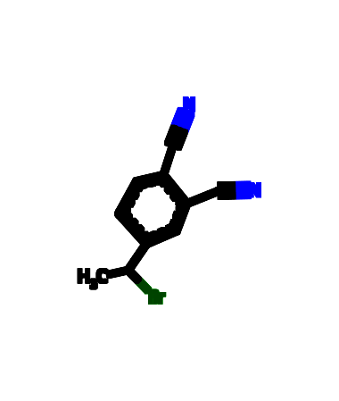 CC(Br)c1ccc(C#N)c(C#N)c1